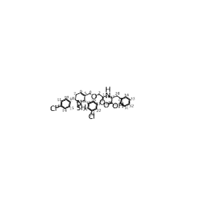 O=C(COCC1=CC[C@@H](c2ccc(Cl)cc2)N(S)[C@H]1c1cccc(Cl)c1)N[C@@H](Cc1ccccc1)C(=O)O